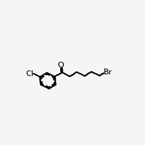 O=C(CCCCCBr)c1cccc(Cl)c1